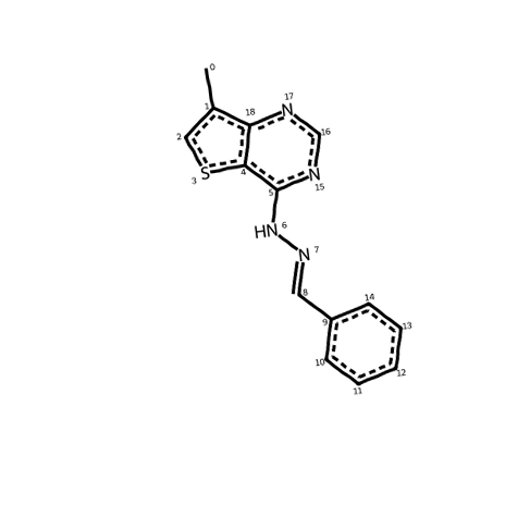 Cc1csc2c(NN=Cc3ccccc3)ncnc12